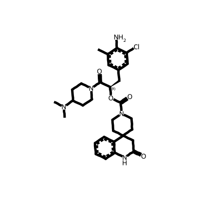 Cc1cc(C[C@@H](OC(=O)N2CCC3(CC2)CC(=O)Nc2ccccc23)C(=O)N2CCC(N(C)C)CC2)cc(Cl)c1N